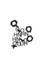 C1CCC(NC2CCCCC2)CC1.CC(C)(C)OC(=O)N[C@H](CNC(=O)OCc1ccccc1)C(=O)O